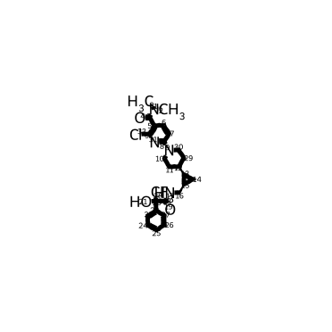 CN(C)C(=O)c1ccc(N2CCC([C@H]3C[C@H]3CNC(=O)C(O)(c3ccccc3)C(F)(F)F)CC2)nc1Cl